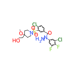 COC1(CCO)CCN(S(=O)(=O)c2cc(C(=O)N(N)c3cc(F)c(F)c(Cl)c3)ccc2Cl)CC1